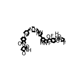 O=C1CCC(N2Cc3cc(N4CCC(CN5CCN(Cc6ncc(-c7cnc8[nH]cc(C(=O)c9c(F)ccc(NS(=O)(=O)N%10CC[C@@H](F)C%10)c9F)c8c7)cn6)CC5)CC4)ccc3C2=O)C(=O)N1